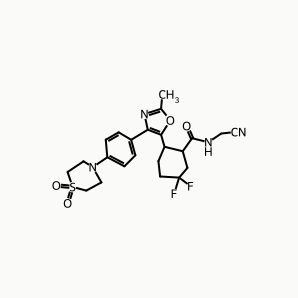 Cc1nc(-c2ccc(N3CCS(=O)(=O)CC3)cc2)c(C2CCC(F)(F)CC2C(=O)NCC#N)o1